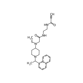 C#CC(=O)NCCNC(=O)CN(SC)C1CCN(C(C)c2cccc3ccccc23)CC1